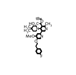 COc1cc(-c2cnc(C)c([C@H](OC(C)(C)C)C(=O)O)c2N2CCC(C)(C)CC2)ncc1OCCc1ccc(F)cc1